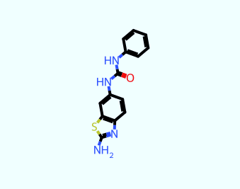 Nc1nc2ccc(NC(=O)Nc3ccccc3)cc2s1